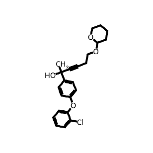 CC(O)(C#CCCOC1CCCCO1)c1ccc(Oc2ccccc2Cl)cc1